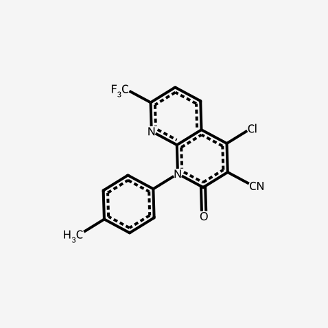 Cc1ccc(-n2c(=O)c(C#N)c(Cl)c3ccc(C(F)(F)F)nc32)cc1